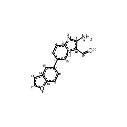 Nc1nc2ccc(-c3ccc4occc4c3)cn2c1C=O